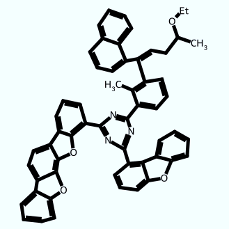 CCOC(C)C/C=C(\c1cccc(-c2nc(-c3cccc4c3oc3c4ccc4c5ccccc5oc43)nc(-c3cccc4oc5ccccc5c34)n2)c1C)c1cccc2ccccc12